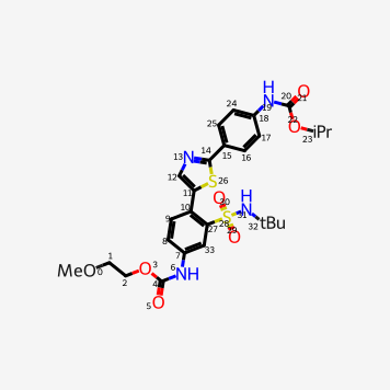 COCCOC(=O)Nc1ccc(-c2cnc(-c3ccc(NC(=O)OC(C)C)cc3)s2)c(S(=O)(=O)NC(C)(C)C)c1